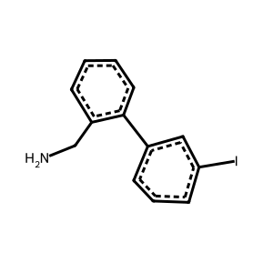 NCc1ccccc1-c1cccc(I)c1